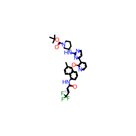 Cc1ccc2c(NC(=O)/C=C/C(F)(F)F)cccc2c1Oc1ncccc1-c1ccnc(N[C@H]2CCCN(C(=O)OC(C)(C)C)C2)n1